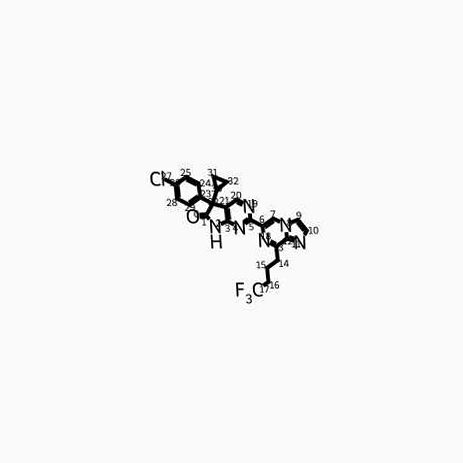 O=C1Nc2nc(-c3cn4ccnc4c(CCCC(F)(F)F)n3)ncc2C1(c1ccc(Cl)cc1)C1CC1